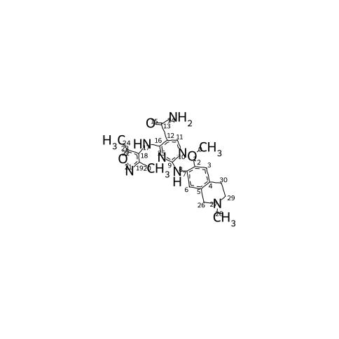 COc1cc2c(cc1Nc1ncc(C(N)=O)c(Nc3c(C)noc3C)n1)CN(C)CC2